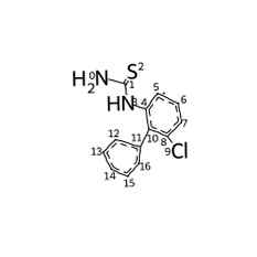 NC(=S)Nc1[c]ccc(Cl)c1-c1ccccc1